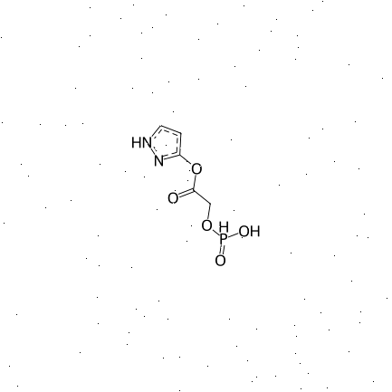 O=C(CO[PH](=O)O)Oc1cc[nH]n1